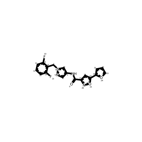 O=C(Nc1cnn(Cc2c(F)cccc2F)c1)c1cc(-c2ccco2)on1